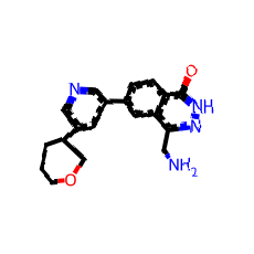 NCc1n[nH]c(=O)c2ccc(-c3cncc(C4CCCOC4)c3)cc12